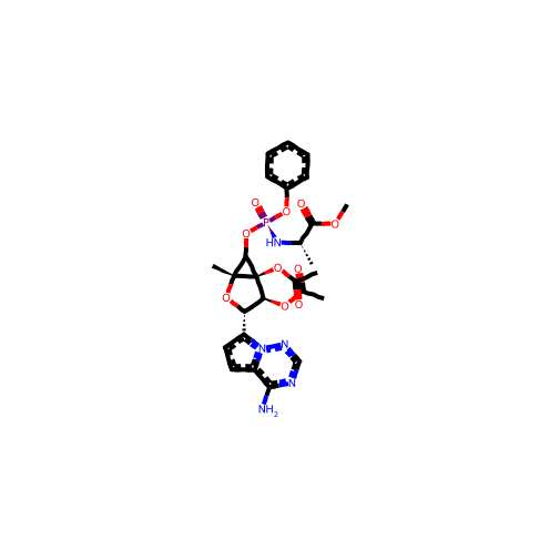 COC(=O)[C@H](C)N[P@@](=O)(Oc1ccccc1)OC1[C@@]2(C)O[C@@H](c3ccc4c(N)ncnn34)[C@H](OC(C)=O)[C@@]12OC(C)=O